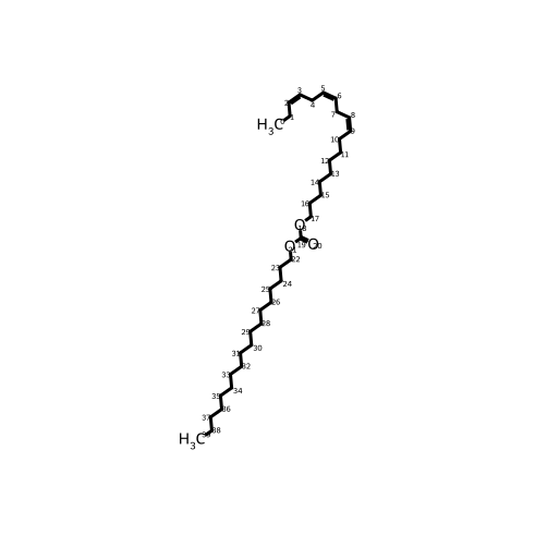 CC/C=C\C/C=C\C/C=C\CCCCCCCCOC(=O)OCCCCCCCCCCCCCCCCCC